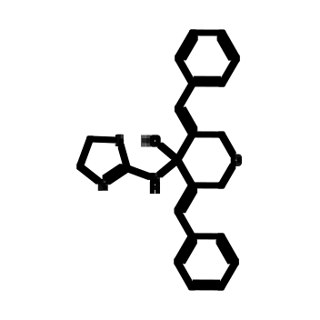 OC1(NC2=NCCS2)C(=Cc2ccccc2)COCC1=Cc1ccccc1